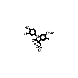 CCS(=O)(=O)CC(O)(C(=O)Nc1ccc(C#N)c(Cl)c1)c1ccc(OC)c(F)c1